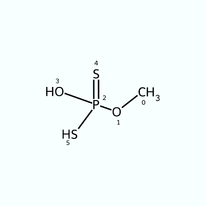 COP(O)(=S)S